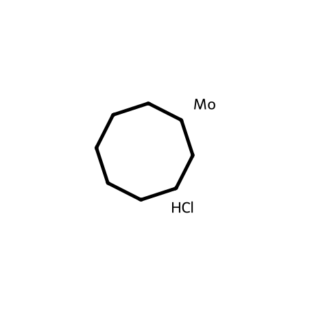 C1CCCCCCC1.Cl.[Mo]